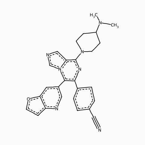 CN(C)C1CCN(c2nc(-c3ccc(C#N)cc3)c(-c3cnc4ccoc4c3)n3cncc23)CC1